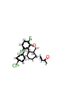 CC(=O)/C=C/[C@@H]1CCC[C@@]2(Cc3ccc(Cl)cc3)c3c(F)ccc(F)c3OCC12